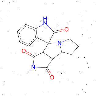 CN1C(=O)C2C3CCCN3C3(C(=O)Nc4ccccc43)C2C1=O